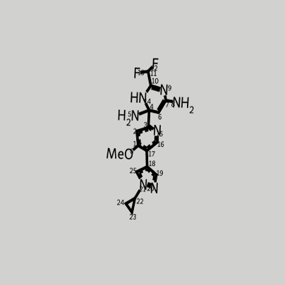 COc1cc(C2(N)C=C(N)N=C(C(F)F)N2)ncc1-c1cnn(C2CC2)c1